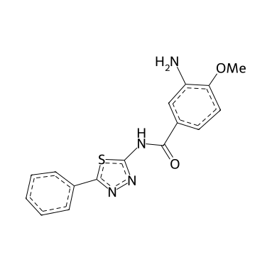 COc1ccc(C(=O)Nc2nnc(-c3ccccc3)s2)cc1N